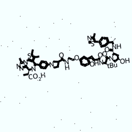 Cc1ncsc1-c1ccc([C@H](C)NC(=O)[C@@H]2C[C@@H](O)CN2C(=O)[C@@H](NC(=O)c2cc3cc(OCCNC(=O)C4CCN(c5ccc(C6=N[C@@H](C(C)C(=O)O)c7nnc(C)n7-c7sc(C)c(C)c76)cc5)C4)ccc3o2)C(C)(C)C)cc1